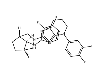 Fc1ccc(N2CCCn3nc(N[C@@H]4[C@@H]5CC[C@H]4CN(c4ncnc(F)c4F)C5)nc32)cc1F